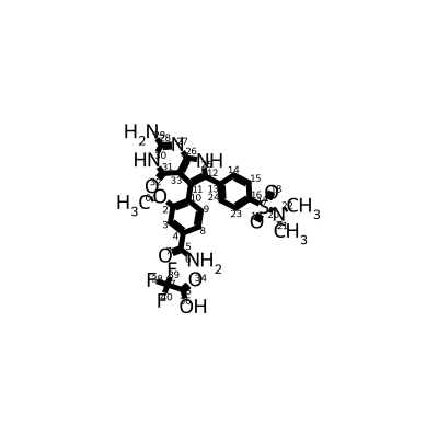 COc1cc(C(N)=O)ccc1-c1c(-c2ccc(S(=O)(=O)N(C)C)cc2)[nH]c2nc(N)[nH]c(=O)c12.O=C(O)C(F)(F)F